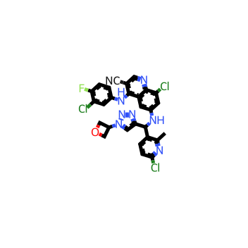 Cc1nc(Cl)ccc1C(Nc1cc(Cl)c2ncc(C#N)c(Nc3ccc(F)c(Cl)c3)c2c1)c1cn(C2COC2)nn1